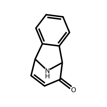 O=C1C=CC2NC1c1ccccc12